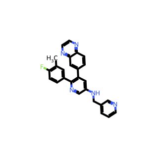 Cc1cc(-c2ncc(NCc3cccnc3)cc2-c2ccc3nccnc3c2)ccc1F